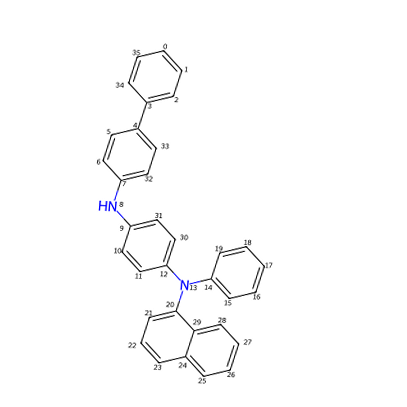 c1ccc(-c2ccc(Nc3ccc(N(c4ccccc4)c4cccc5ccccc45)cc3)cc2)cc1